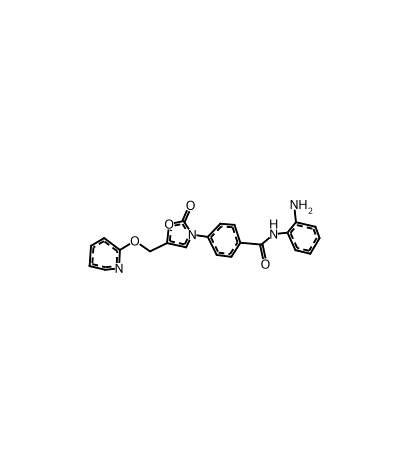 Nc1ccccc1NC(=O)c1ccc(-n2cc(COc3ccccn3)oc2=O)cc1